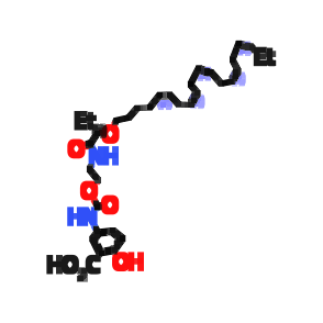 CC/C=C\C/C=C\C/C=C\C/C=C\C/C=C\CCCCO[C@@H](CC)C(=O)NCCOC(=O)Nc1ccc(O)c(C(=O)O)c1